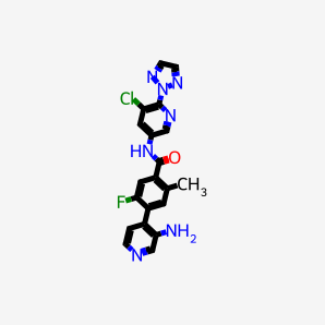 Cc1cc(-c2ccncc2N)c(F)cc1C(=O)Nc1cnc(-n2nccn2)c(Cl)c1